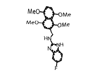 COc1ccc(OC)c2c(OC)c(CNc3nc4cc(F)ccc4[nH]3)cc(OC)c12